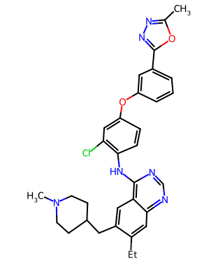 CCc1cc2ncnc(Nc3ccc(Oc4cccc(-c5nnc(C)o5)c4)cc3Cl)c2cc1CC1CCN(C)CC1